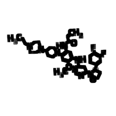 C=CC(=O)Nc1cc(Nc2cc(N3OCC[C@@H]3c3ccc(F)c(F)c3)ncn2)c(OC)cc1N1CCC(N2CCN(CCC)CC2)CC1